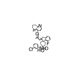 C[C@@H](COc1ccnc2c1[C@@H](C)CCC2)C[C@H]1Cc2cccc(F)c2C12CCC(Nc1cccc(Cl)c1)(C(=O)O)CC2